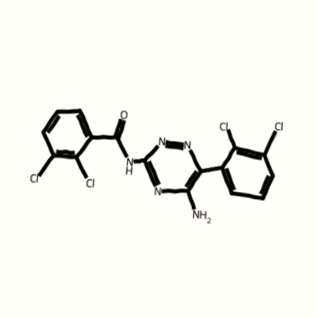 Nc1nc(NC(=O)c2cccc(Cl)c2Cl)nnc1-c1cccc(Cl)c1Cl